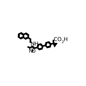 Cc1noc(-c2ccc(-c3ccc(C4(CC(=O)O)CC4)cc3)cc2)c1NCCc1ccc2ccccc2c1